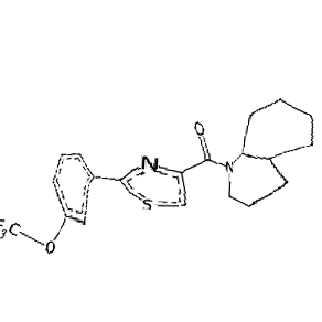 O=C(c1csc(-c2cccc(OC(F)(F)F)c2)n1)N1CCCC2CCCCC21